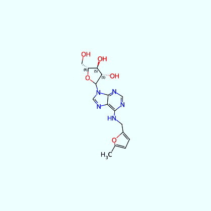 Cc1ccc(CNc2ncnc3c2ncn3C2O[C@H](CO)[C@@H](O)[C@@H]2O)o1